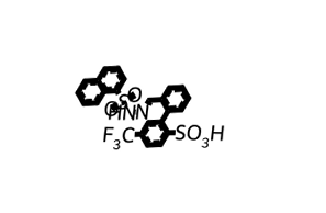 O=S(=O)(O)c1ccc(C(F)(F)F)cc1-c1ccccc1/C=N/NS(=O)(=O)c1cccc2ccccc12